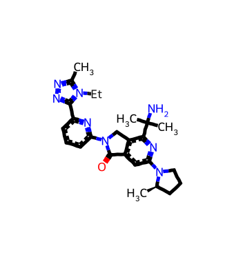 CCn1c(C)nnc1-c1cccc(N2Cc3c(cc(N4CCC[C@H]4C)nc3C(C)(C)N)C2=O)n1